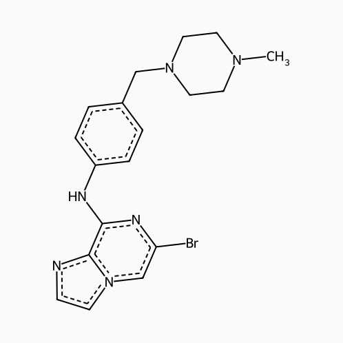 CN1CCN(Cc2ccc(Nc3nc(Br)cn4ccnc34)cc2)CC1